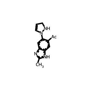 CC(=O)c1cc2[nH]c(C)nc2cc1N1C=CCN1